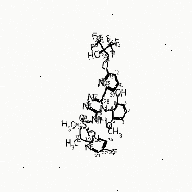 COc1cccc(O)c1-n1c(NS(=O)(=O)[C@@H](C)[C@H](C)c2ncc(F)cn2)nnc1C1=C=C=CC(OCC(O)(C(F)(F)F)C(F)(F)F)=N1